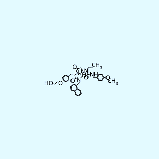 CCCN(C(=O)NCc1ccc(OC)cc1)N1CC(=O)N2[C@@H](Cc3ccc(OCCO)cc3)C(=O)N(Cc3cccc4ccccc34)C[C@@H]21